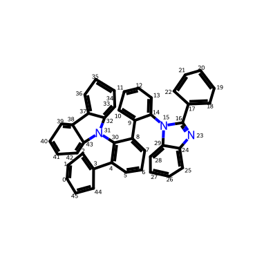 c1ccc(-c2cccc(-c3ccccc3-n3c(-c4ccccc4)nc4ccccc43)c2-n2c3ccccc3c3ccccc32)cc1